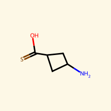 NC1CC(C(O)=S)C1